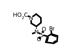 CN([C@H]1CCCN(C(=O)O)C1)S(=O)(=O)c1ccccc1Br